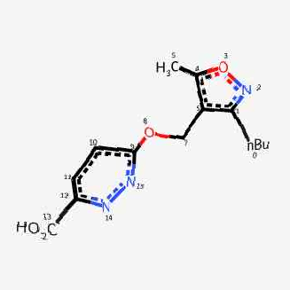 CCCCc1noc(C)c1COc1ccc(C(=O)O)nn1